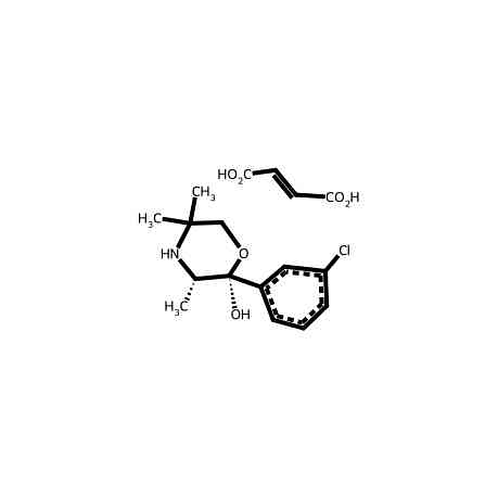 C[C@@H]1NC(C)(C)CO[C@@]1(O)c1cccc(Cl)c1.O=C(O)/C=C/C(=O)O